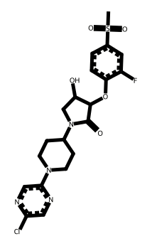 CS(=O)(=O)c1ccc(OC2C(=O)N(C3CCN(c4cnc(Cl)cn4)CC3)CC2O)c(F)c1